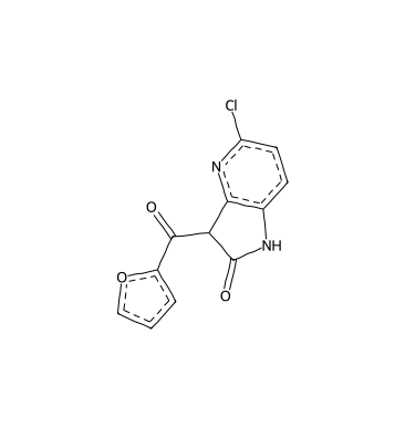 O=C1Nc2ccc(Cl)nc2C1C(=O)c1ccco1